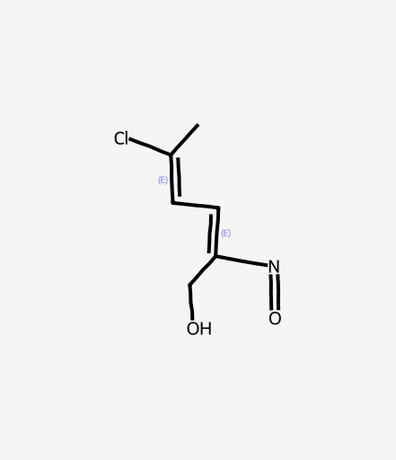 C/C(Cl)=C\C=C(/CO)N=O